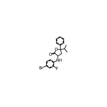 CC(C)C1(c2ccccc2)CC(Nc2ccc(Br)cc2F)C(=O)O1